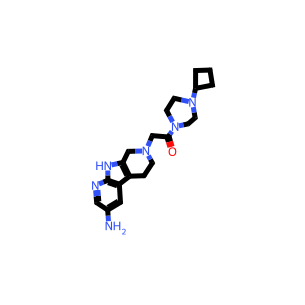 Nc1cnc2[nH]c3c(c2c1)CCN(CC(=O)N1CCN(C2CCC2)CC1)C3